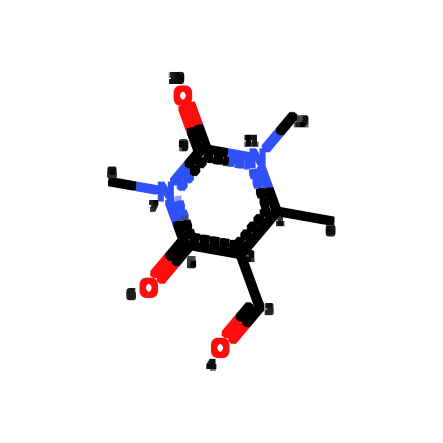 Cc1c(C=O)c(=O)n(C)c(=O)n1C